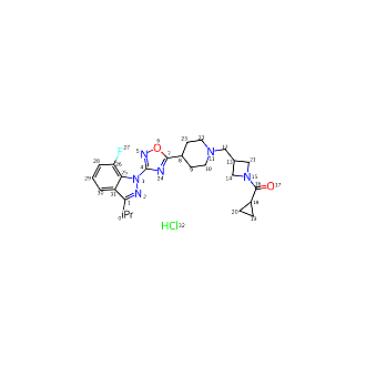 CC(C)c1nn(-c2noc(C3CCN(CC4CN(C(=O)C5CC5)C4)CC3)n2)c2c(F)cccc12.Cl